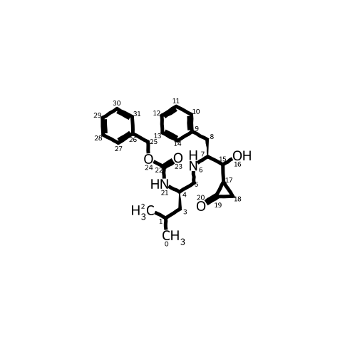 CC(C)C[C@H](CN[C@@H](Cc1ccccc1)C(O)C1CC1=O)NC(=O)OCc1ccccc1